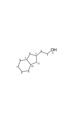 OCCC1CC2CCCCC2C1